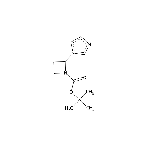 CC(C)(C)OC(=O)N1CCC1n1ccnc1